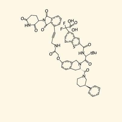 CC(C)(C)C(NC(=O)c1cc2cc(C(F)(F)P(=O)(O)O)ccc2s1)C(=O)N1Cc2cc(OCC(=O)NCC#Cc3cccc4c3C(=O)N(C3CCC(=O)NC3=O)C4=O)ccc2C[C@H]1C(=O)N1CCC[C@H](c2ccccc2)C1